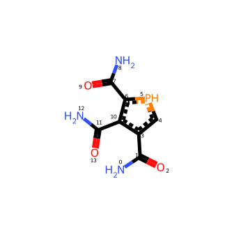 NC(=O)c1c[pH]c(C(N)=O)c1C(N)=O